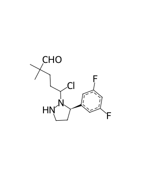 CC(C)(C=O)CCC(Cl)N1NCC[C@@H]1c1cc(F)cc(F)c1